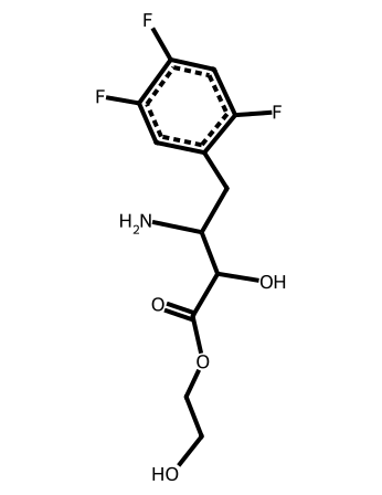 NC(Cc1cc(F)c(F)cc1F)C(O)C(=O)OCCO